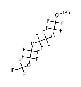 CC(C)C(F)(F)OC(F)(F)C(F)(F)OC(F)(F)C(F)(F)OC(F)(F)C(F)(F)OC(C)(C)C